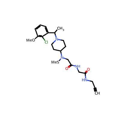 C#CCNC(=O)CNC(=O)CN(SC)C1CCN(C(C)c2cccc(OC)c2Cl)CC1